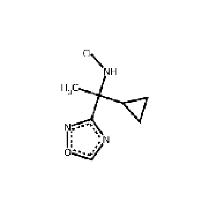 CC(NCl)(c1ncon1)C1CC1